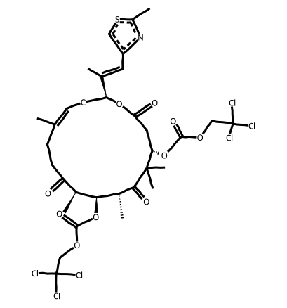 C/C1=C/C[C@@H](/C(C)=C/c2csc(C)n2)OC(=O)C[C@H](OC(=O)OCC(Cl)(Cl)Cl)C(C)(C)C(=O)[C@H](C)[C@@H](OC(=O)OCC(Cl)(Cl)Cl)[C@@H](C)C(=O)CC1